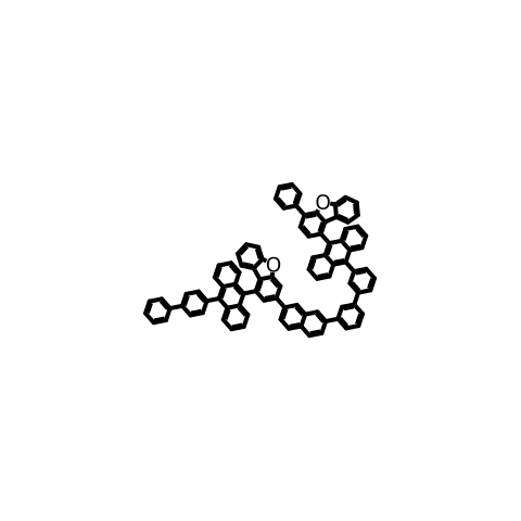 c1ccc(-c2ccc(-c3c4ccccc4c(-c4cc(-c5ccc6ccc(-c7cccc(-c8cccc(-c9c%10ccccc%10c(-c%10ccc(-c%11ccccc%11)c%11oc%12ccccc%12c%10%11)c%10ccccc9%10)c8)c7)cc6c5)cc5oc6ccccc6c45)c4ccccc34)cc2)cc1